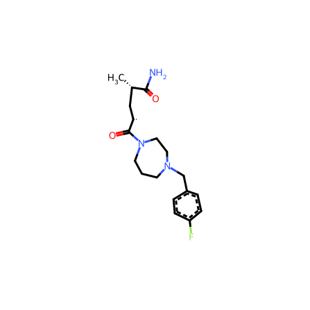 C[C@@H](C[CH]C(=O)N1CCCN(Cc2ccc(F)cc2)CC1)C(N)=O